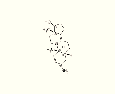 C[C@]12C=C[C@H](N)C[C@H]1CCC1=C3CC[C@H](O)[C@@]3(C)CC[C@@H]12